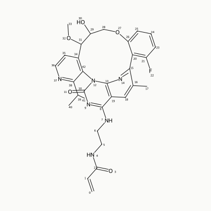 C=CC(=O)NCCNc1nc(=O)n2c3nc(c(C)cc13)-c1c(F)cccc1OCC(O)C(OC)c1ccnc(C(C)C)c1-2